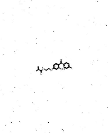 C=C(C)C(=O)OCCOc1ccc(C(=O)c2ccc(C)cc2)c(O)c1